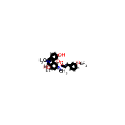 CCC1CC(N(C)C(=O)/C=C/c2cccc(OC(F)(F)F)c2)C2Oc3c(O)ccc4c3[C@@]23CCN(C)[C@H](C4)[C@]13O